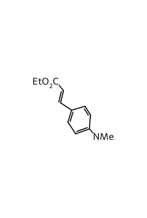 CCOC(=O)C=Cc1ccc(NC)cc1